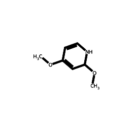 CO[C]1C=C(OC)C=CN1